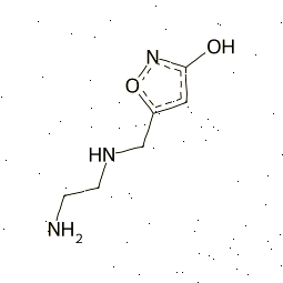 NCCNCc1cc(O)no1